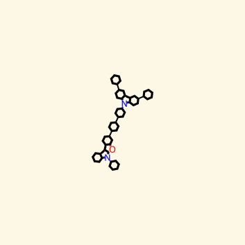 c1ccc(-c2ccc3c(c2)c2cc(-c4ccccc4)ccc2n3-c2ccc(-c3ccc(-c4ccc5c(c4)oc4c5c5ccccc5n4-c4ccccc4)cc3)cc2)cc1